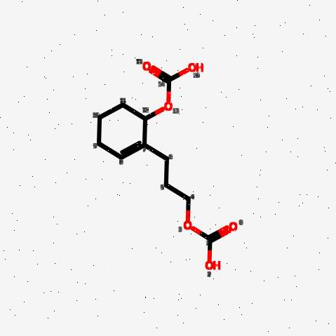 O=C(O)OCCCC1=CCCCC1OC(=O)O